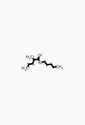 CCCCCOC(=O)C(C)CCC